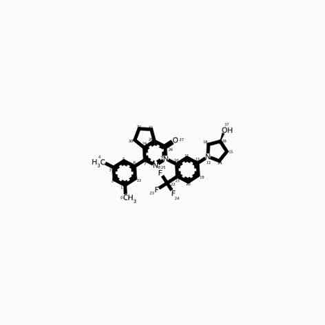 Cc1cc(C)cc(-c2nn(-c3cc(N4CC[C@H](O)C4)ccc3C(F)(F)F)c(=O)c3c2CCC3)c1